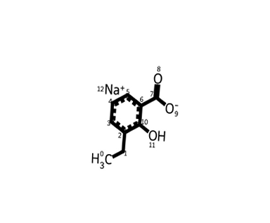 CCc1cccc(C(=O)[O-])c1O.[Na+]